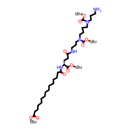 CC(C)(C)OC(=O)CCCCCCCCCCCCCC(=O)N[C@@H](CCC(=O)NCCCN(CCCCN(CCCN)C(=O)OC(C)(C)C)C(=O)OC(C)(C)C)C(=O)OC(C)(C)C